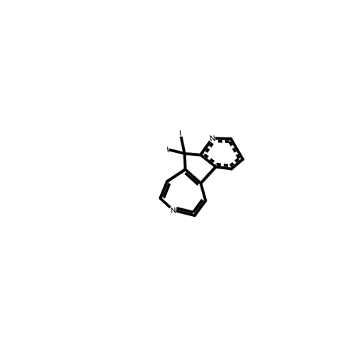 IC1(I)C2=C(C=C=NC=C2)c2cccnc21